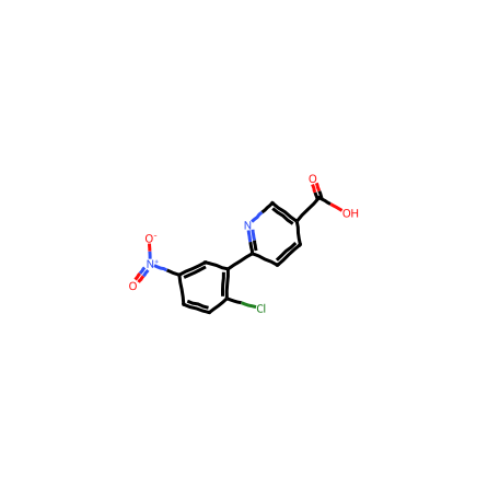 O=C(O)c1ccc(-c2cc([N+](=O)[O-])ccc2Cl)nc1